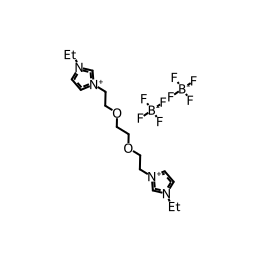 CCn1cc[n+](CCOCCOCC[n+]2ccn(CC)c2)c1.F[B-](F)(F)F.F[B-](F)(F)F